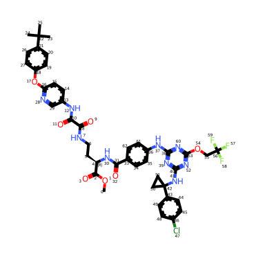 COC(=O)[C@@H](CCNC(=O)C(=O)Nc1ccc(Oc2ccc(C(C)(C)C)cc2)nc1)NC(=O)c1ccc(Nc2nc(NC3(c4ccc(Cl)cc4)CC3)nc(OCC(F)(F)F)n2)cc1